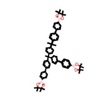 CC(C)(c1ccc(-c2ccc(B3OC(C)(C)C(C)(C)O3)cc2)cc1)c1ccc(C(C)(c2ccc(-c3ccc(B4OC(C)(C)C(C)(C)O4)cc3)cc2)c2ccc(-c3ccc(B4OC(C)(C)C(C)(C)O4)cc3)cc2)cc1